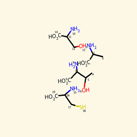 CC(N)C(=O)O.CC(O)C(N)C(=O)O.NC(CO)C(=O)O.NC(CS)C(=O)O